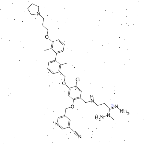 Cc1c(COc2cc(OCc3cncc(C#N)c3)c(CNCC/C(=N/N)N(C)N)cc2Cl)cccc1-c1cccc(OCCCN2CCCC2)c1C